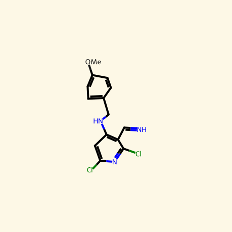 COc1ccc(CNc2cc(Cl)nc(Cl)c2C=N)cc1